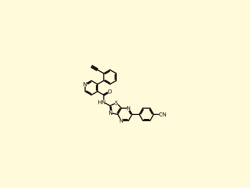 C#Cc1ccccc1-c1cnccc1C(=O)Nc1nc2ncc(-c3ccc(C#N)cc3)nc2s1